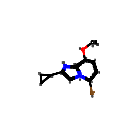 COc1ccc(Br)n2cc(C3CC3)nc12